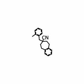 Cc1ccccc1CC1(C#N)CCc2ccccc2CC1